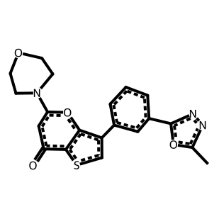 Cc1nnc(-c2cccc(-c3csc4c(=O)cc(N5CCOCC5)oc34)c2)o1